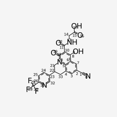 N#Cc1cc2c3c(c1)c(O)c(C(=O)NCC(=O)O)c(=O)n3CC(c1ccc(C(F)(F)F)nc1)C2